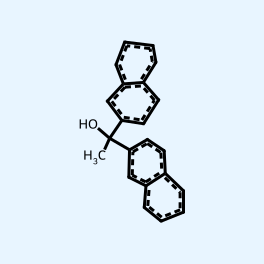 CC(O)(c1ccc2ccccc2c1)c1ccc2ccccc2c1